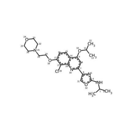 CC(C)Nc1nc(-c2cc(OC(C)C)c3ccc(OCCN4CCOCC4)c(Cl)c3n2)co1